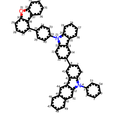 c1ccc(-n2c3ccc(-c4ccc5c(c4)c4ccccc4n5-c4ccc(-c5cccc6oc7ccccc7c56)cc4)cc3c3cc4ccccc4cc32)cc1